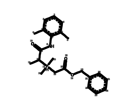 Cc1cccc(C)c1NC(=O)C(C)[PH](C)(C)CC(=O)OCc1ccccc1